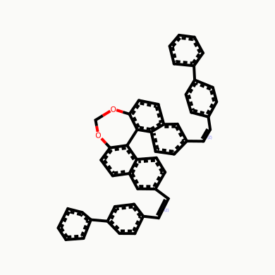 C(=C/c1ccc2c3c(ccc2c1)OCOc1ccc2cc(/C=C\c4ccc(-c5ccccc5)cc4)ccc2c1-3)/c1ccc(-c2ccccc2)cc1